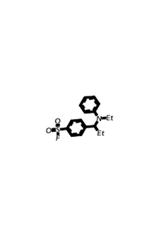 CCC(c1ccc(S(=O)(=O)F)cc1)N(CC)c1ccccc1